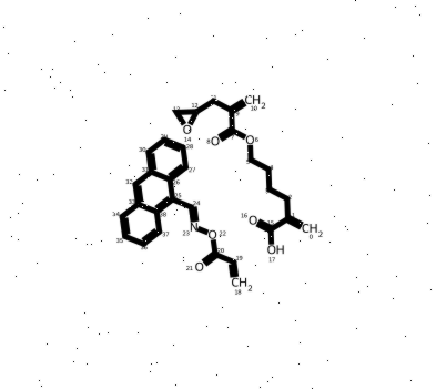 C=C(CCCCOC(=O)C(=C)CC1CO1)C(=O)O.C=CC(=O)ON=Cc1c2ccccc2cc2ccccc12